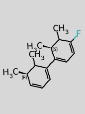 CC1C(C2=CC=C(F)C(C)[C@@H]2C)=CC=C[C@H]1C